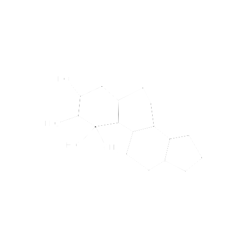 CC1C(O)CC2CCC3C4CCCC4CCC3C2C1(C)C